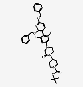 CC(C)(C)OC(=O)N1CCC(N2CCN(c3cc(F)c(-c4ccc(OCc5ccccc5)nc4OCc4ccccc4)c(F)c3)CC2=O)CC1